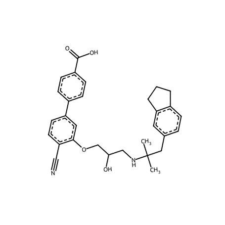 CC(C)(Cc1ccc2c(c1)CCC2)NCC(O)COc1cc(-c2ccc(C(=O)O)cc2)ccc1C#N